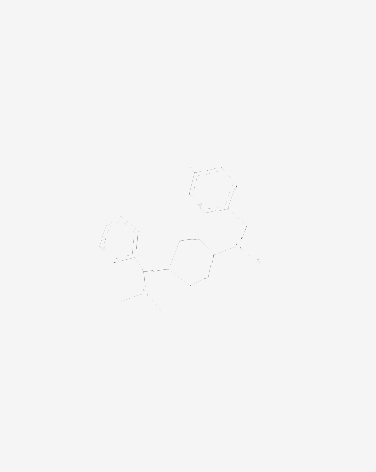 CC(=O)N(Cc1ccc(F)cc1)C1CCC(C(c2ccccc2)N(C)C)CC1